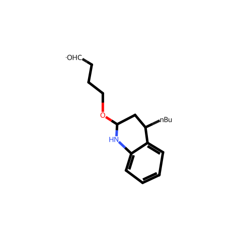 CCCCC1CC(OCCC[C]=O)Nc2ccccc21